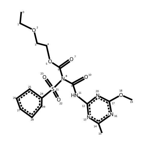 CCOCCOC(=O)N(C(=O)Nc1nc(C)nc(OC)n1)S(=O)(=O)c1ccccc1